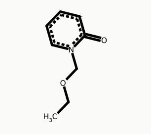 CCOCn1ccc[c]c1=O